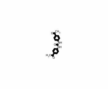 CC(=O)c1ccc(NC(=O)Nc2ccc(C(C)=O)cc2)cc1